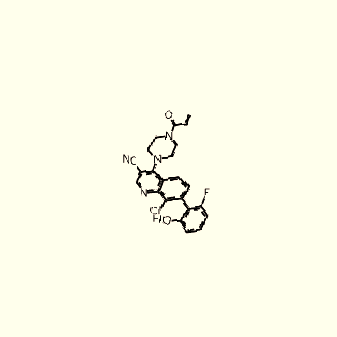 C=CC(=O)N1CCN(c2c(C#N)cnc3c(Cl)c(-c4c(O)cccc4F)ccc23)CC1